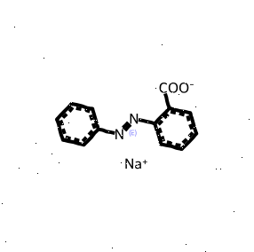 O=C([O-])c1ccccc1/N=N/c1ccccc1.[Na+]